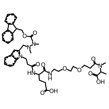 CC(C(=O)O)N(C)C(=O)CCOCCOCCNC(=O)C(CCC(=O)O)NC(=O)CCn1c(CN(C)N(C)C(=O)OCC2c3ccccc3-c3ccccc32)cc2ccccc21